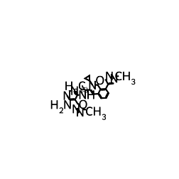 Cc1nnc(-c2c(N)ncnc2N[C@@H](C)c2cc3cccc(-c4cnn(C)c4)c3c(=O)n2C2CC2)o1